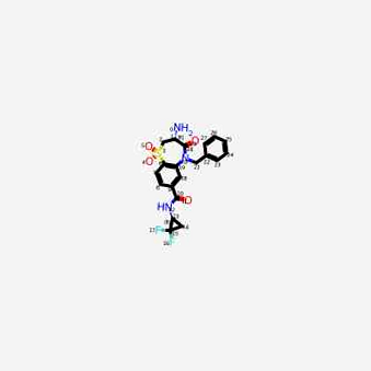 N[C@H]1CS(=O)(=O)c2ccc(C(=O)N[C@@H]3CC3(F)F)cc2N(Cc2ccccc2)C1=O